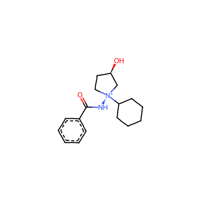 O=C(N[N@@+]1(C2CCCCC2)CC[C@@H](O)C1)c1ccccc1